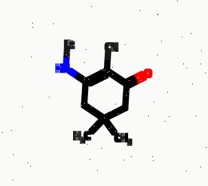 CCNC1=C(C#N)C(=O)CC(C)(C)C1